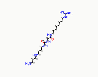 N=C(N)NCCCCCCCCNC(=O)CNC(=O)NCCCCNCCCN